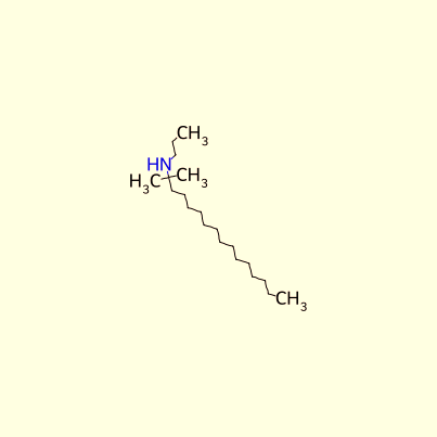 CCCCCCCCCCCCCCC(C)(C)NCCC